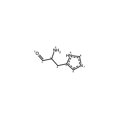 NC([C]=O)Cc1cnc[nH]1